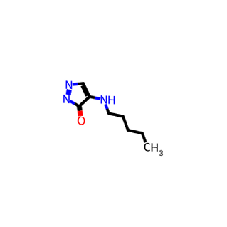 CCCCCNC1=CN=NC1=O